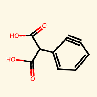 O=C(O)C(C(=O)O)c1c#cccc1